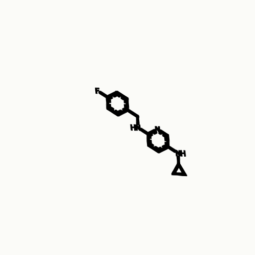 Fc1ccc(CNc2ccc(NC3CC3)cn2)cc1